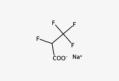 O=C([O-])C(F)C(F)(F)F.[Na+]